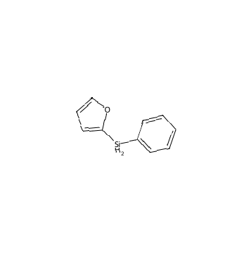 c1ccc([SiH2]c2ccco2)cc1